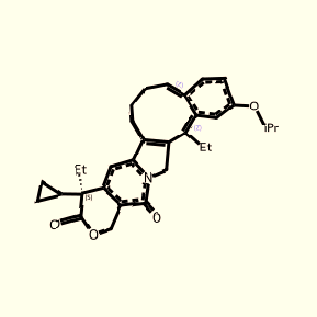 CC/C1=c2\cc(OC(C)C)cc\c2=C\CCCC2=C1Cn1c2cc2c(c1=O)COC(=O)[C@@]2(CC)C1CC1